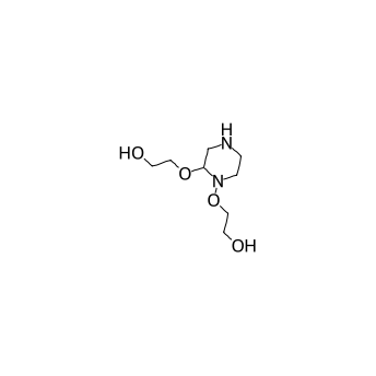 OCCOC1CNCCN1OCCO